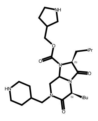 CCC(C)[C@H]1C(=O)N(CC2CCNCC2)CC2N1C(=O)[C@H](CC(C)C)N2C(=O)OCC1CCNC1